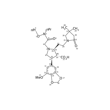 CCCON(CCC)C(=O)CN1C[C@H](c2cc(OC)c3c(c2)OCO3)[C@@H](C(=O)O)[C@@H]1CCN1CC(C)(C)CC1=O